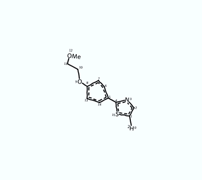 [2H]c1cnc(-c2ccc(OCCOC)cc2)s1